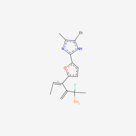 C=C(/C(=C\C)c1ccc(-c2nc(C)c(CC)[nH]2)o1)C(C)(F)P